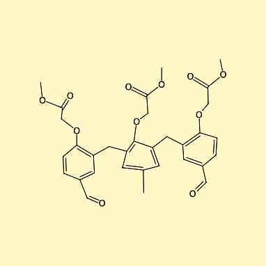 COC(=O)COc1ccc(C=O)cc1Cc1cc(C)cc(Cc2cc(C=O)ccc2OCC(=O)OC)c1OCC(=O)OC